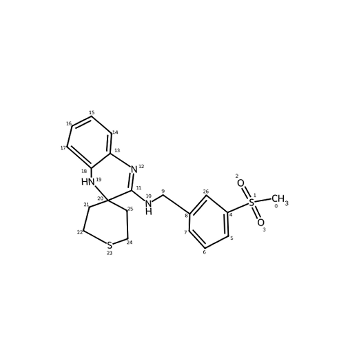 CS(=O)(=O)c1cccc(CNC2=Nc3ccccc3NC23CCSCC3)c1